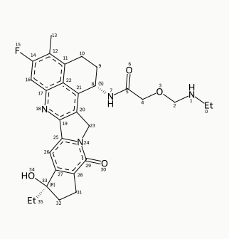 CCNCOCC(=O)N[C@H]1CCc2c(C)c(F)cc3nc4c(c1c23)Cn1c-4cc2c(c1=O)CC[C@]2(O)CC